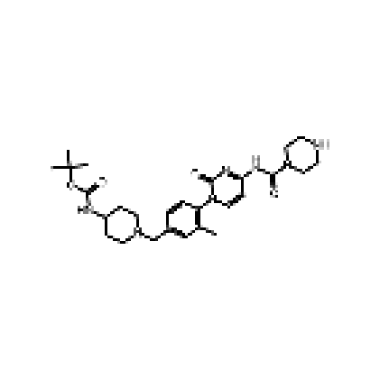 Cc1cc(CN2CCC(NC(=O)OC(C)(C)C)CC2)ccc1-n1ccc(NC(=O)N2CCNCC2)nc1=O